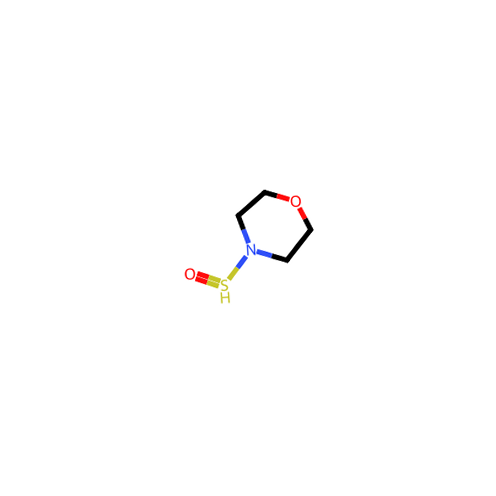 O=[SH]N1CCOCC1